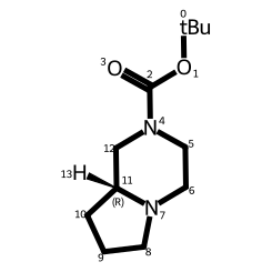 CC(C)(C)OC(=O)N1CCN2CCC[C@@H]2C1